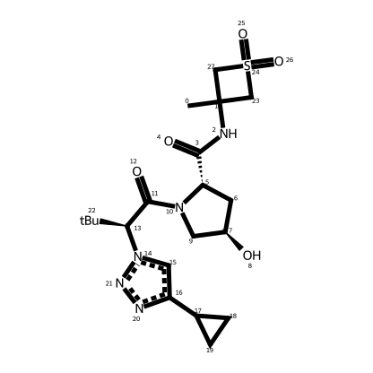 CC1(NC(=O)[C@@H]2C[C@@H](O)CN2C(=O)[C@@H](n2cc(C3CC3)nn2)C(C)(C)C)CS(=O)(=O)C1